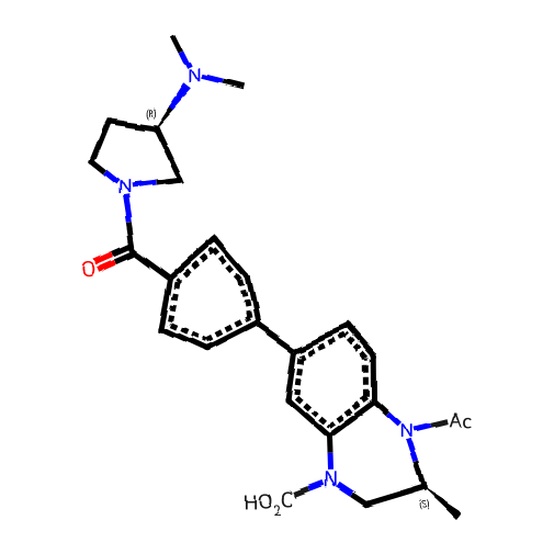 CC(=O)N1c2ccc(-c3ccc(C(=O)N4CC[C@@H](N(C)C)C4)cc3)cc2N(C(=O)O)C[C@@H]1C